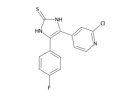 Fc1ccc(-c2[nH]c(=S)[nH]c2-c2ccnc(Cl)c2)cc1